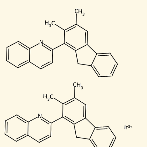 Cc1cc2c(c(-c3ccc4ccccc4n3)c1C)Cc1ccccc1-2.Cc1cc2c(c(-c3ccc4ccccc4n3)c1C)Cc1ccccc1-2.[Ir+3]